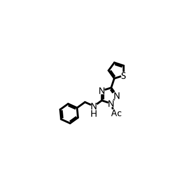 CC(=O)n1nc(-c2cccs2)nc1NCc1ccccc1